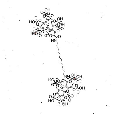 O=C(NCCCCCCCCCCCCNC(=O)[C@H](OS(=O)(=O)O)[C@@H](OS(=O)(=O)O)[C@H](O[C@@H]1O[C@H](COS(=O)(=O)O)[C@@H](OS(=O)(=O)O)[C@H](OS(=O)(=O)O)[C@H]1OS(=O)(=O)O)[C@@H](COS(=O)(=O)O)OS(=O)(=O)O)[C@H](OS(=O)(=O)O)[C@@H](OS(=O)(=O)O)[C@H](O[C@@H]1O[C@H](COS(=O)(=O)O)[C@@H](OS(=O)(=O)O)[C@H](OS(=O)(=O)O)[C@H]1OS(=O)(=O)O)[C@@H](COS(=O)(=O)O)OS(=O)(=O)O